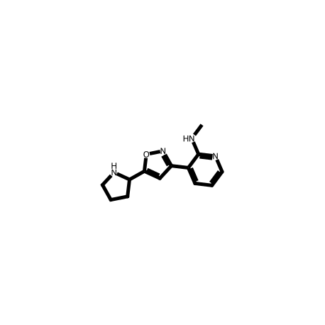 CNc1ncccc1-c1cc(C2CCCN2)on1